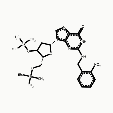 CC(C)(C)[Si](C)(C)OC[C@H]1O[C@@H](n2cnc3c(=O)[nH]c(NCc4ccccc4[N+](=O)[O-])nc32)CC1O[Si](C)(C)C(C)(C)C